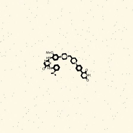 COc1cc(N2CCN(CC3CCN(c4ccc(C5CCC(=O)NC5=O)cc4)CC3)CC2)ccc1Nc1ncc(Cl)c(Nc2ccccc2P(C)C)n1